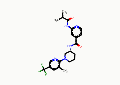 Cc1cc(C(F)(F)F)cnc1N1CCC[C@@H](NC(=O)c2ccnc(NC(=O)C(C)C)c2)C1